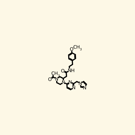 COc1ccc(CCNC(=O)CC2CN(C(C)=O)CCN2c2ccnc(Cn3ccnc3)n2)cc1